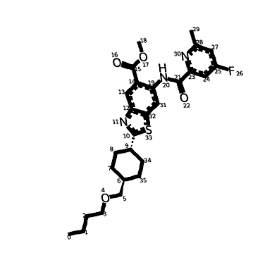 CCCCOC[C@H]1CC[C@H](c2nc3cc(C(=O)OC)c(NC(=O)c4cc(F)cc(C)n4)cc3s2)CC1